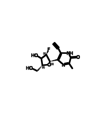 C#Cc1[nH]c(=O)c(C)nc1[C@@H]1O[C@H](CO)C(O)[C@@H]1F